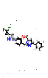 FC1(F)CC1CNc1ccc2c(c1)OCc1cc(-c3ccccc3)nn1C2